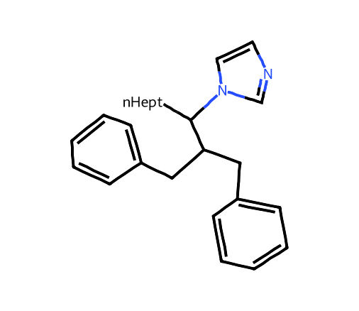 CCCCCCCC(C(Cc1ccccc1)Cc1ccccc1)n1ccnc1